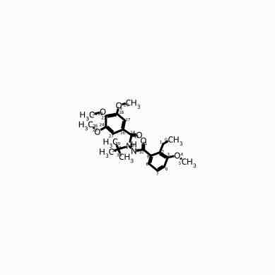 CCc1c(OC)cccc1C(=O)NN(C(=O)c1cc(OC)c(OC)c(OC)c1)C(C)(C)C